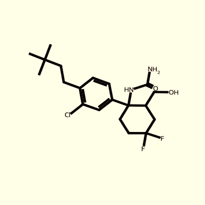 CC(C)(C)CCc1ccc(C2(NC(N)=O)CCC(F)(F)CC2CO)cc1Cl